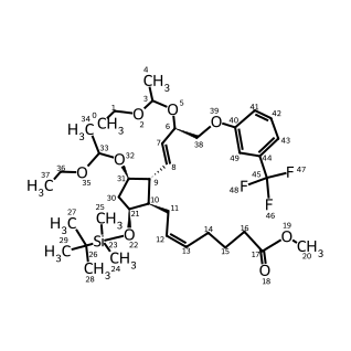 CCOC(C)O[C@H](/C=C/[C@@H]1[C@@H](C/C=C\CCCC(=O)OC)[C@@H](O[Si](C)(C)C(C)(C)C)C[C@H]1OC(C)OCC)COc1cccc(C(F)(F)F)c1